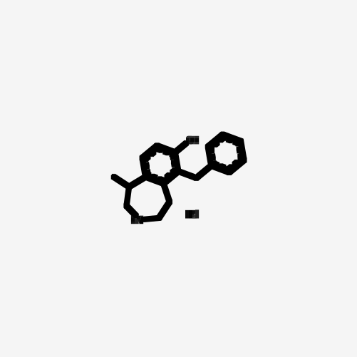 CC1CNCCc2c1ccc(O)c2Cc1ccccc1.Cl